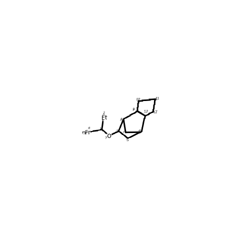 [CH2]CCC(CC)OC1CC2CC1C1CCCC21